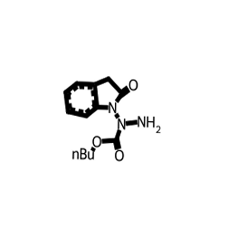 CCCCOC(=O)N(N)N1C(=O)Cc2ccccc21